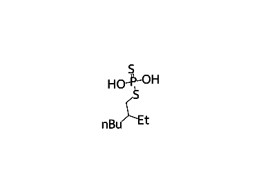 CCCCC(CC)CSP(O)(O)=S